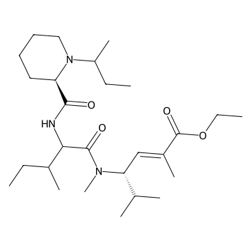 CCOC(=O)/C(C)=C/[C@H](C(C)C)N(C)C(=O)C(NC(=O)[C@H]1CCCCN1C(C)CC)C(C)CC